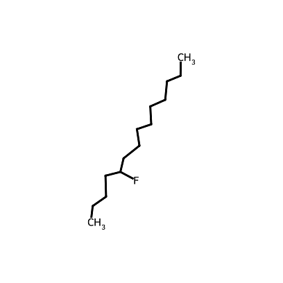 CCCCCCCCCC(F)CCCC